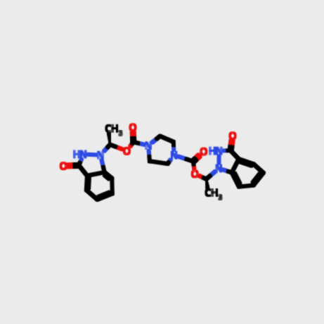 C[C@@H](OC(=O)N1CCN(C(=O)O[C@H](C)n2[nH]c(=O)c3ccccc32)CC1)n1[nH]c(=O)c2ccccc21